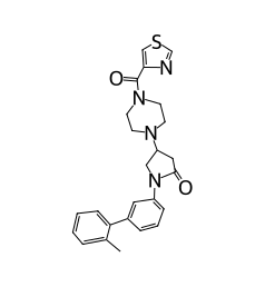 Cc1ccccc1-c1cccc(N2CC(N3CCN(C(=O)c4cscn4)CC3)CC2=O)c1